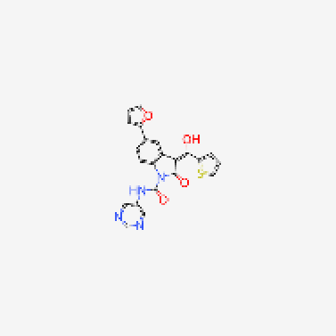 O=C(Nc1cncnc1)N1C(=O)C(=C(O)c2cccs2)c2cc(-c3ccco3)ccc21